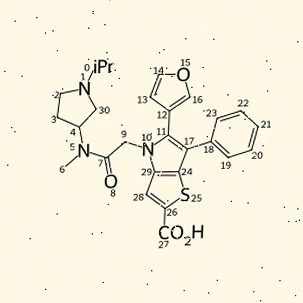 CC(C)N1CCC(N(C)C(=O)Cn2c(-c3ccoc3)c(-c3ccccc3)c3sc(C(=O)O)cc32)C1